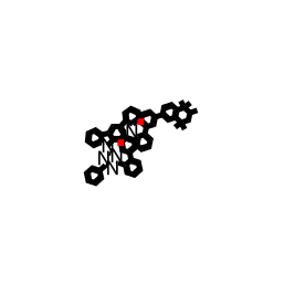 CC1CC(C)(C)c2cc(-c3cccc(-c4ccccc4-n4c5ccccc5c5cc6c7ccccc7n(-c7nc(-c8ccccc8)nc(-c8ccccc8-c8ccccc8)n7)c6cc54)c3)ccc2C1(C)C